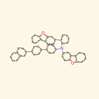 c1ccc(N(c2ccc(-c3ccc(-c4ccc5ccccc5c4)cc3)cc2)c2ccc3oc4ccccc4c3c2)c(-c2ccc3c(c2)oc2ccccc23)c1